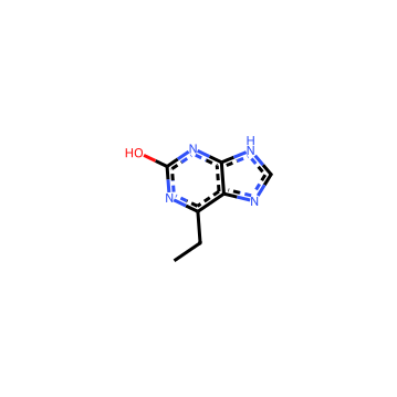 CCc1nc(O)nc2[nH]cnc12